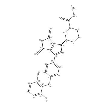 CC(C)(C)OC(=O)N1CCC[C@@H](n2cc(-c3ccc(Oc4c(F)cccc4F)cc3)c3c2C(=O)OC3=O)C1